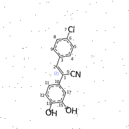 N#C/C(=C\c1ccc(Cl)cc1)c1ccc(O)c(O)c1